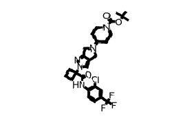 CC(C)(C)OC(=O)N1CCC(N2Cc3cn(C4(C(=O)Nc5ccc(C(F)(F)F)cc5Cl)CCC4)nc3C2)CC1